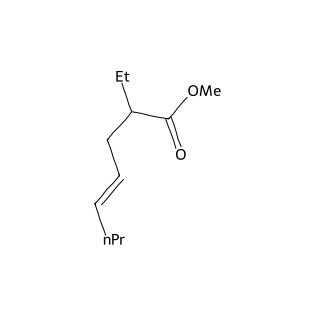 CCCC=CCC(CC)C(=O)OC